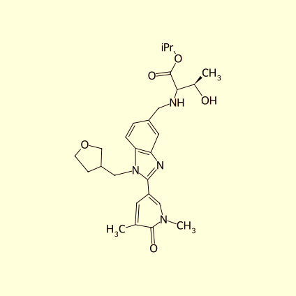 Cc1cc(-c2nc3cc(CNC(C(=O)OC(C)C)[C@@H](C)O)ccc3n2CC2CCOC2)cn(C)c1=O